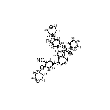 N#Cc1cc(-c2ccnc3c2cc(-c2ccc(N4CCOCC4)c(F)c2)n3S(=O)(=O)c2ccccc2)ccc1OC1CCOCC1